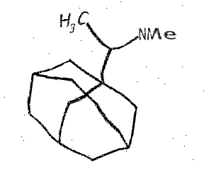 CNC(C)C12CC3CC(CC(C3)C1)C2